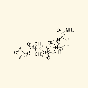 CC(C)(COS(=O)(=O)ON1C(=O)N2C[C@H]1CC[C@H]2C(N)=O)C(=O)OC1COC1